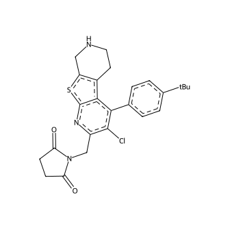 CC(C)(C)c1ccc(-c2c(Cl)c(CN3C(=O)CCC3=O)nc3sc4c(c23)CCNC4)cc1